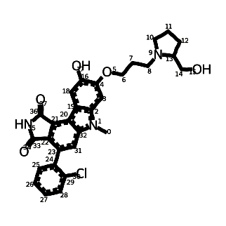 Cn1c2cc(OCCCN3CCCC3CO)c(O)cc2c2c3c(c(-c4ccccc4Cl)cc21)C(=O)NC3=O